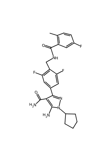 Cc1ccc(F)cc1C(=O)NCc1c(F)cc(-c2nn(C3CCCC3)c(N)c2C(N)=O)cc1F